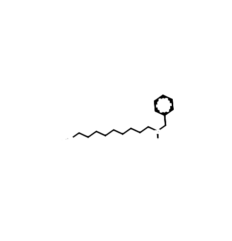 CCCCCCCCCCCCCCCCCCCN(C)Cc1ccccc1